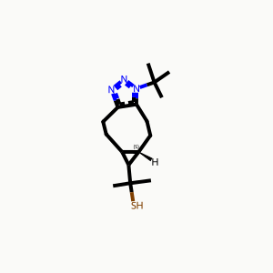 CC(C)(S)C1C2CCc3nnn(C(C)(C)C)c3CC[C@@H]21